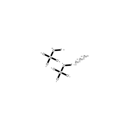 [O-][Si]([O-])([O-])OF.[O-][Si]([O-])([O-])OF.[Zn+2].[Zn+2].[Zn+2]